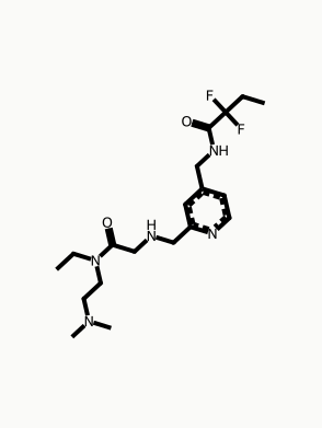 CCN(CCN(C)C)C(=O)CNCc1cc(CNC(=O)C(F)(F)CC)ccn1